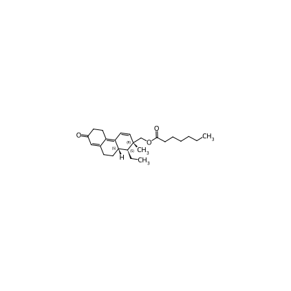 CCCCCCC(=O)OC[C@@]1(C)C=CC2=C3CCC(=O)C=C3CC[C@H]2[C@@H]1CC